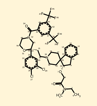 CCN(C)C(=O)CO[C@H]1Cc2ccccc2C12CCN(CC[C@@]1(c3ccc(Cl)c(Cl)c3)CN(C(=O)c3cc(C(F)(F)F)cc(C(F)(F)F)c3)CCO1)CC2